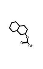 O=C(O)OC1CCC2CCCCC2C1